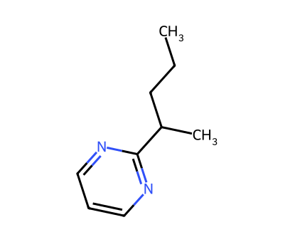 CCCC(C)c1ncccn1